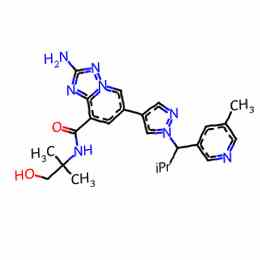 Cc1cncc(C(C(C)C)n2cc(-c3cc(C(=O)NC(C)(C)CO)c4nc(N)nn4c3)cn2)c1